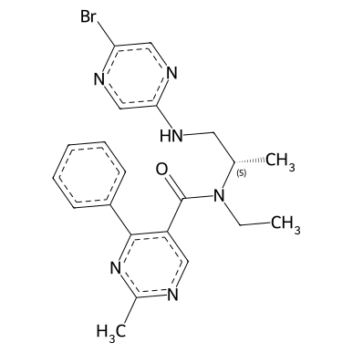 CCN(C(=O)c1cnc(C)nc1-c1ccccc1)[C@@H](C)CNc1cnc(Br)cn1